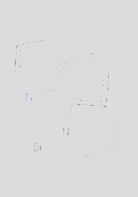 BrN1CC=Cc2ccc3cccnc3c21